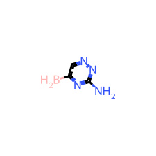 Bc1cnnc(N)n1